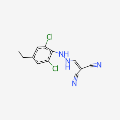 CCc1cc(Cl)c(NNC=C(C#N)C#N)c(Cl)c1